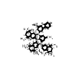 Cc1cc2c3c(c1)N(c1cc(C(C)(C)C)c4sc5ccccc5c4c1)c1cc4c(cc1B3c1cc3c(cc1N2c1ccc2c(c1)C(C)(C)CCC2(C)C)C(C)(C)CCC3(C)C)C(C)(C)CCC4(C)C